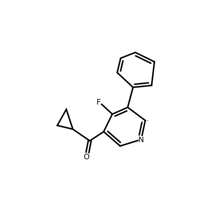 O=C(c1cn[c]c(-c2ccccc2)c1F)C1CC1